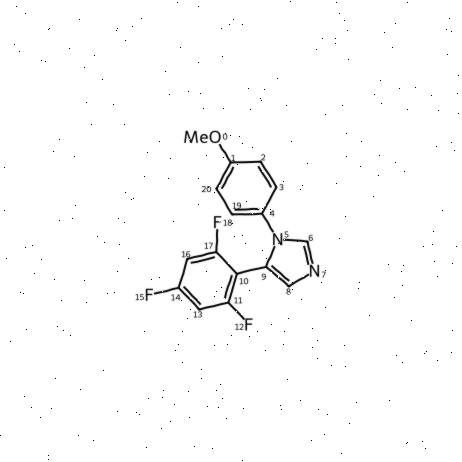 COc1ccc(-n2cncc2-c2c(F)cc(F)cc2F)cc1